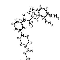 Cc1ccc(F)c(CC(C)C(=O)Nc2cccc(N3CCC(NCCO)CC3)c2)c1C